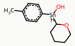 Cc1cc[c]([SnH]([OH])[CH]2CCCCO2)cc1